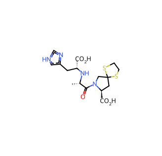 C[C@H](N[C@H](Cc1c[nH]cn1)C(=O)O)C(=O)N1CC2(C[C@H]1C(=O)O)SCCS2